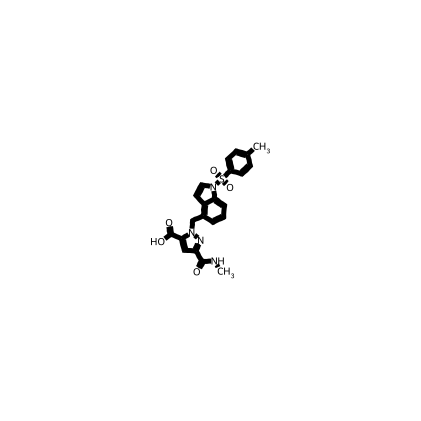 CNC(=O)c1cc(C(=O)O)n(Cc2cccc3c2ccn3S(=O)(=O)c2ccc(C)cc2)n1